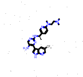 C[C@@H](Nc1ncc(N)c(-c2c[nH]c3ncc(C(F)(F)F)cc23)n1)c1ccc(N(C)CCN(C)C)nc1